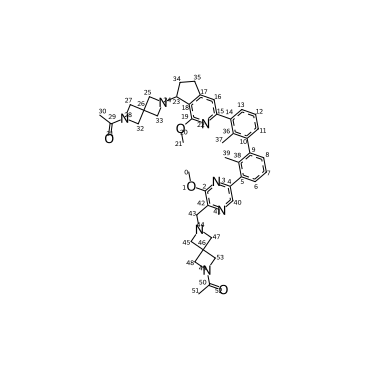 COc1nc(-c2cccc(-c3cccc(-c4cc5c(c(OC)n4)C(N4CC6(CN(C(C)=O)C6)C4)CC5)c3C)c2C)cnc1CN1CC2(C1)CN(C(C)=O)C2